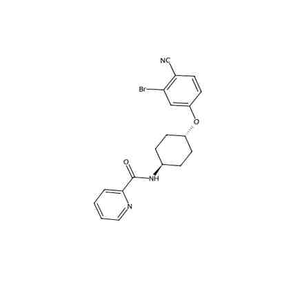 N#Cc1ccc(O[C@H]2CC[C@H](NC(=O)c3ccccn3)CC2)cc1Br